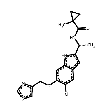 C[C@@H](NC(=O)C1(C)CC1)c1cc2cc(Cl)c(OCc3cscn3)cc2[nH]1